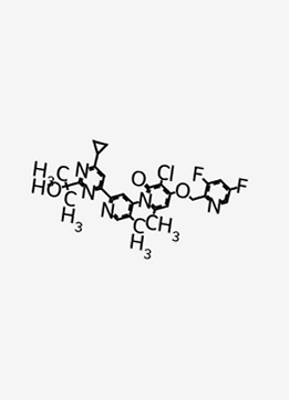 Cc1cnc(-c2cc(C3CC3)nc(C(C)(C)O)n2)cc1-n1c(C)cc(OCc2ncc(F)cc2F)c(Cl)c1=O